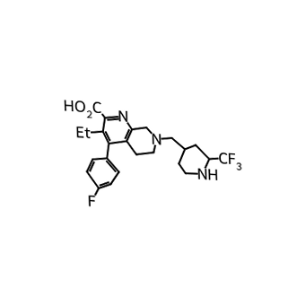 CCc1c(C(=O)O)nc2c(c1-c1ccc(F)cc1)CCN(CC1CCNC(C(F)(F)F)C1)C2